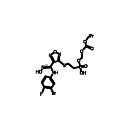 CC(C)OC(=O)OCOP(=O)(O)CCSc1nonc1/C(=N/O)Nc1ccc(F)c(Br)c1